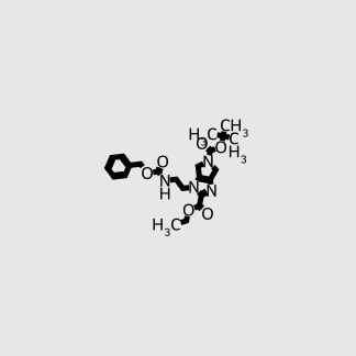 CCOC(=O)c1nc2c(n1CCNC(=O)OCc1ccccc1)CN(C(=O)OC(C)(C)C)C2